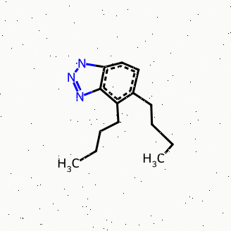 CCCCc1ccc2c(c1CCCC)N=N[N]2